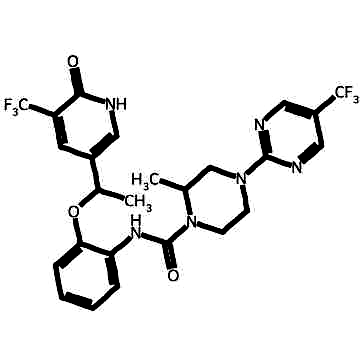 CC(Oc1ccccc1NC(=O)N1CCN(c2ncc(C(F)(F)F)cn2)CC1C)c1c[nH]c(=O)c(C(F)(F)F)c1